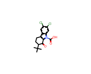 CC(C)(C)C1CCc2c(n(C(=O)O)c3cc(Cl)c(Cl)cc23)C1=O